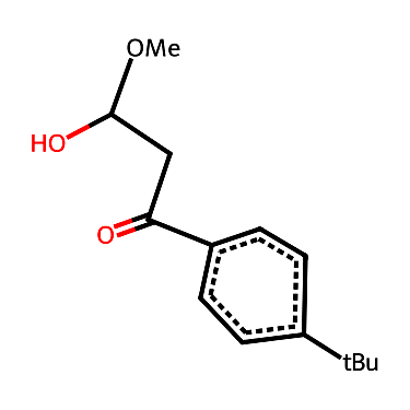 COC(O)CC(=O)c1ccc(C(C)(C)C)cc1